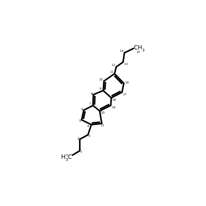 CCCCc1ccc2cc3cc(CCCC)ccc3cc2c1